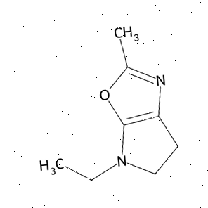 CCN1CCc2nc(C)oc21